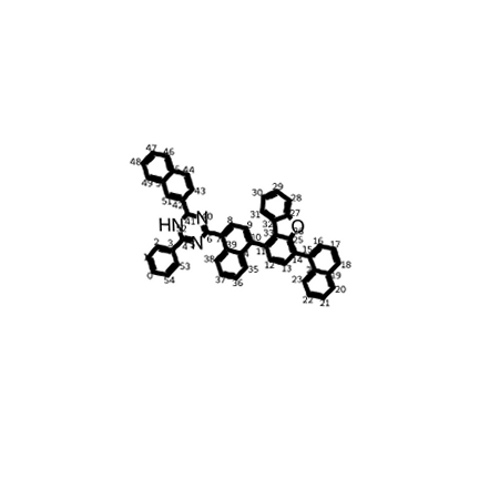 c1ccc(C2=NC(c3ccc(-c4ccc(-c5cccc6ccccc56)c5oc6ccccc6c45)c4ccccc34)=NC(c3ccc4ccccc4c3)N2)cc1